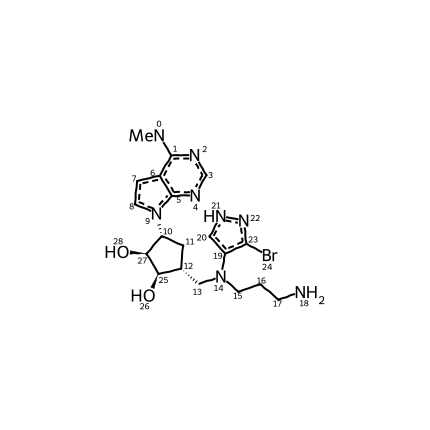 CNc1ncnc2c1ccn2[C@@H]1C[C@H](CN(CCCN)c2c[nH]nc2Br)[C@@H](O)[C@H]1O